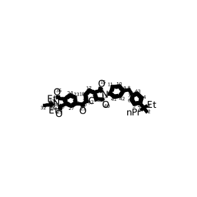 CCCC(C)(CC)c1ccc(Cc2ccc(N3C(=O)c4ccc(C(=O)c5ccc6c(c5)C(=O)N(C(C)(CC)CC)C6=O)cc4C3=O)cc2)cc1